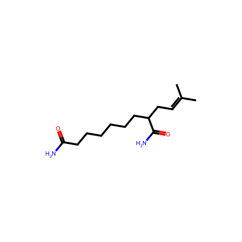 CC(C)=CCC(CCCCCCC(N)=O)C(N)=O